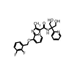 Cc1nc2c(OCc3cccc(F)c3F)cccn2c1C(=O)NC(CO)(CO)c1ccccn1